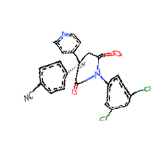 N#Cc1ccc([C@]2(c3ccncc3)CC(=O)N(c3cc(Cl)cc(Cl)c3)C2=O)cc1